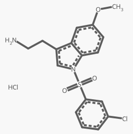 COc1ccc2c(c1)c(CCN)cn2S(=O)(=O)c1cccc(Cl)c1.Cl